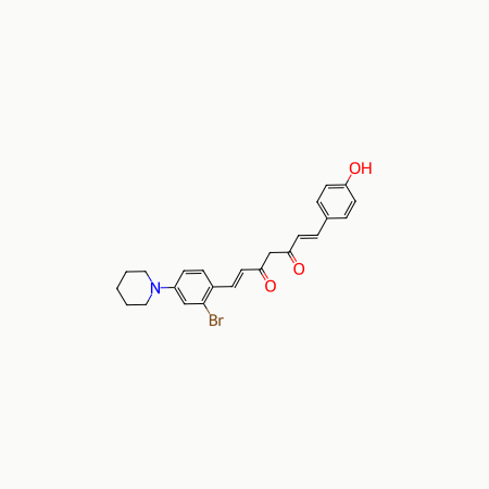 O=C(/C=C/c1ccc(O)cc1)CC(=O)/C=C/c1ccc(N2CCCCC2)cc1Br